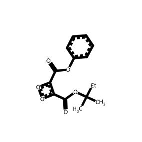 CCC(C)(C)OC(=O)c1ooc1C(=O)Oc1ccccc1